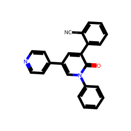 N#Cc1ccccc1-c1cc(-c2ccncc2)cn(-c2ccccc2)c1=O